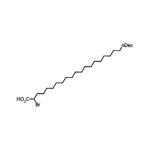 CCCCCCCCCCCCCCCCCCCCCCCCCCCCC(Br)C(=O)O